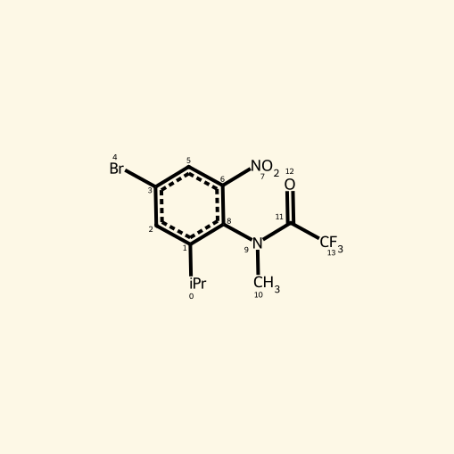 CC(C)c1cc(Br)cc([N+](=O)[O-])c1N(C)C(=O)C(F)(F)F